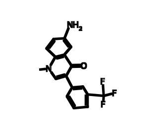 Cn1cc(-c2cccc(C(F)(F)F)c2)c(=O)c2cc(N)ccc21